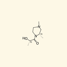 C[C@H](O)C(=O)N1CCN(C)C[C@@H]1C